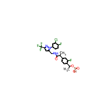 CC(O[SH](=O)=O)c1ccc(C(C)C(=O)NCc2cc(C(F)(F)F)nn2-c2ccc(F)c(Cl)c2)cc1F